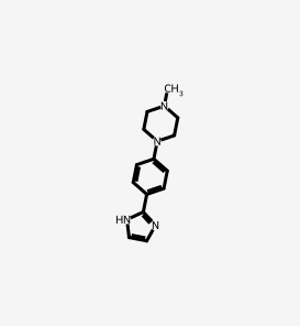 CN1CCN(c2ccc(-c3ncc[nH]3)cc2)CC1